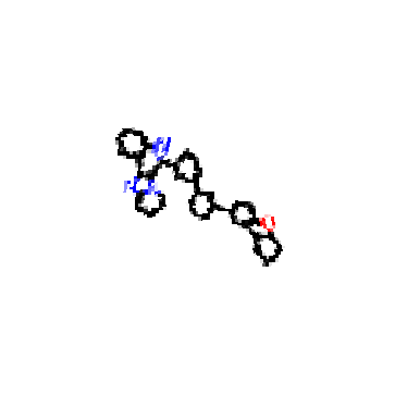 c1cc(-c2cccc(-c3nc4ccccc4c4nc5ccccn5c34)c2)cc(-c2ccc3oc4ccccc4c3c2)c1